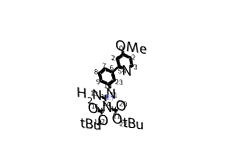 COc1ccnc(-c2cccc(/N=C(\N)N(C(=O)OC(C)(C)C)C(=O)OC(C)(C)C)c2)c1